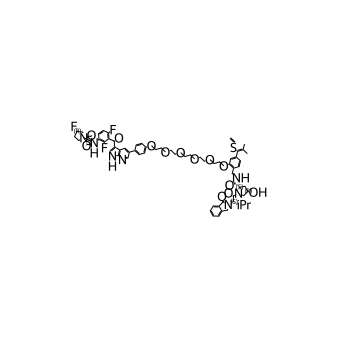 C=CSC(=C(C)C)c1ccc(CNC(=O)[C@@H]2C[C@@H](O)CN2C(=O)[C@H](C(C)C)N2Cc3ccccc3C2=O)c(OCCOCCOCCOCCOCCOc2ccc(-c3cnc4[nH]cc(C(=O)c5c(F)ccc(NS(=O)(=O)N6CC[C@@H](F)C6)c5F)c4c3)cc2)c1